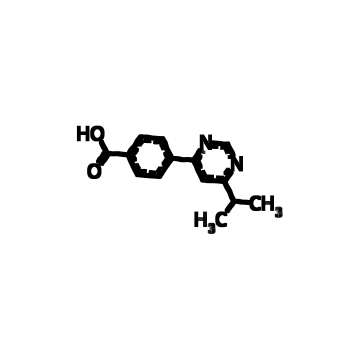 CC(C)c1cc(-c2ccc(C(=O)O)cc2)ncn1